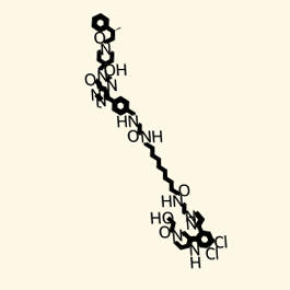 C[C@H](CC(=O)N1CCC(O)(Cn2cnc3c(-c4ccc(CNCC(=O)NCCCCCCCCCC(=O)NCCn5ccc(-c6cc(Cl)c(Cl)c7[nH]c8c(c67)CN(C(=O)CO)CC8)n5)cc4)n(C)nc3c2=O)CC1)c1ccccc1